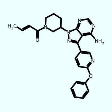 CC=CC(=O)N1CCCC(n2nc(-c3ccc(Oc4ccccc4)nc3)c3c(N)ncnc32)C1